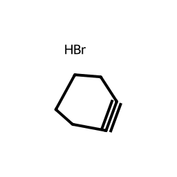 Br.C1#CCCCC1